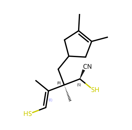 CC1=C(C)CC(C[C@](C)(/C(C)=C/S)[C@H](S)C#N)C1